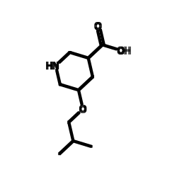 CC(C)COC1CNCC(C(=O)O)C1